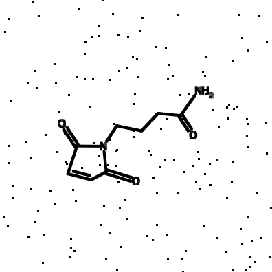 NC(=O)CCCN1C(=O)C=CC1=O